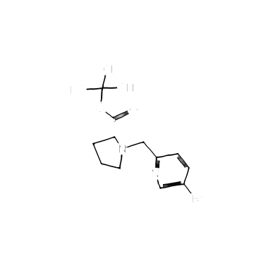 CC(C)(C)OC(=O)[C@H]1CCCN1Cc1ccc(Br)cn1